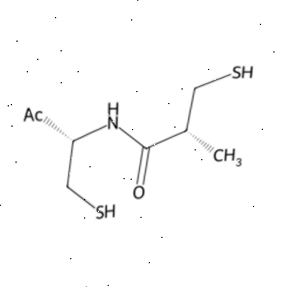 CC(=O)[C@@H](CS)NC(=O)[C@@H](C)CS